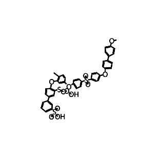 COc1ccc(-c2ccc(Oc3ccc(S(=O)(=O)c4ccc(Oc5ccc(C)c(Oc6ccc(-c7cccc(S(=O)(=O)O)c7)cc6SOOO)c5)cc4)cc3)cc2)cc1